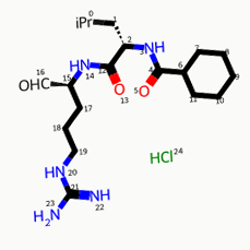 CC(C)C[C@H](NC(=O)C1CCCCC1)C(=O)N[C@H](C=O)CCCNC(=N)N.Cl